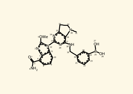 COc1nc2c(C(N)=O)cccc2n1-c1nc2c(c(NCc3cccc(B(O)O)c3)n1)N(C)CC2